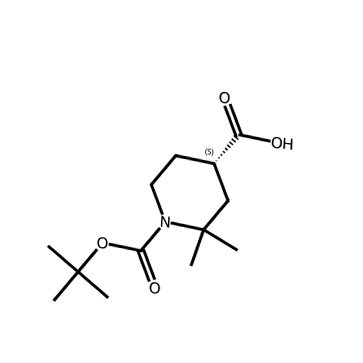 CC(C)(C)OC(=O)N1CC[C@H](C(=O)O)CC1(C)C